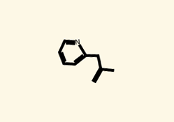 C=C(C)Cc1ccccn1